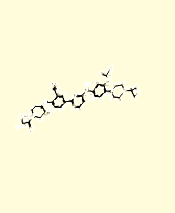 C[C@H](O)C(=O)N1CC[C@H](Oc2ccc(-c3nccc(Nc4ccc(N5CCN(C6COC6)CC5)c(OC(F)F)c4)n3)cc2C#N)[C@H](F)C1